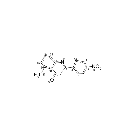 O=C1CC(c2ccc([N+](=O)[O-])cc2)=Nc2cccc(C(F)(F)F)c21